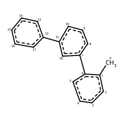 Cc1ccccc1-c1[c]ccc(-c2ccccc2)c1